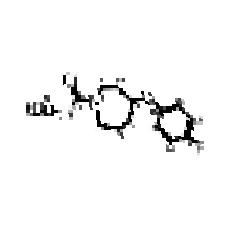 CC(C)(C)OC(=O)N1CCCC(Oc2ccc(F)cc2)CC1